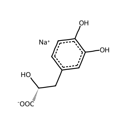 O=C([O-])[C@H](O)Cc1ccc(O)c(O)c1.[Na+]